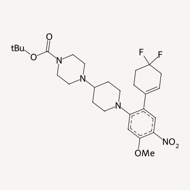 COc1cc(N2CCC(N3CCN(C(=O)OC(C)(C)C)CC3)CC2)c(C2=CCC(F)(F)CC2)cc1[N+](=O)[O-]